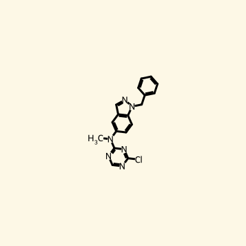 CN(c1ccc2c(cnn2Cc2ccccc2)c1)c1ncnc(Cl)n1